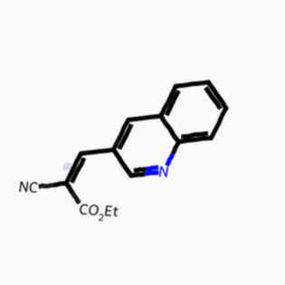 CCOC(=O)/C(C#N)=C\c1cnc2ccccc2c1